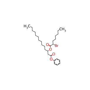 CCCCCCCCCCCC(CC(=O)Oc1ccccc1)OC(=O)[C@H](Br)CCCCCC